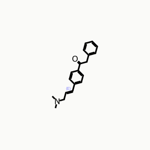 CN(C)C/C=C/c1ccc(C(=O)Cc2ccccc2)cc1